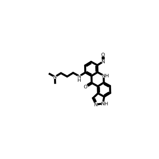 CN(C)CCCNc1ccc(N=O)c2[nH]c3ccc4[nH]ncc4c3c(=O)c12